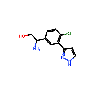 NC(CO)c1ccc(Cl)c(-c2cc[nH]n2)c1